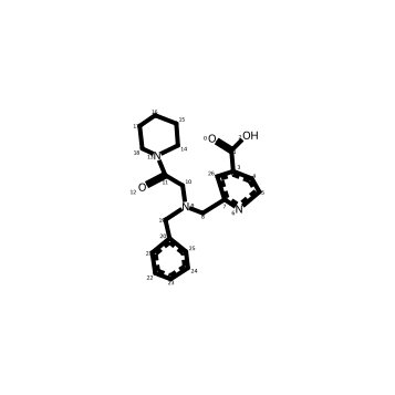 O=C(O)c1ccnc(CN(CC(=O)N2CCCCC2)Cc2ccccc2)c1